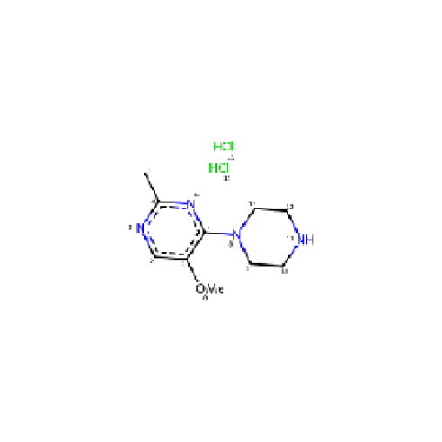 COc1cnc(C)nc1N1CCNCC1.Cl.Cl